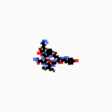 CC(C)[C@H](NC(=O)CNC(=O)[C@H](CCC(N)=O)NC(=O)[C@@H](N)Cc1ccc(O)cc1)C(=O)N[C@@H](CCC(N)=O)C(=O)N[C@@H](Cc1ccccc1)C(=O)N[C@@H](CCCCN)C(=O)O